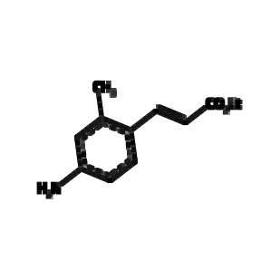 CCOC(=O)/C=C/c1ccc(N)cc1C